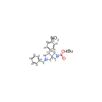 CC(C)(C)OC(=O)N1CC2(CN(Cc3ccccc3)CC2c2ccc([N+](=O)[O-])cc2)C1